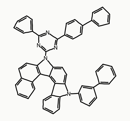 c1ccc(-c2ccc(-c3nc(-c4ccccc4)nc(-n4c5ccc6ccccc6c5c5c6c7ccccc7n(-c7cccc(-c8ccccc8)c7)c6ccc54)n3)cc2)cc1